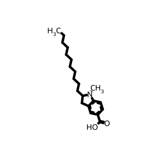 CCCCCCCCCCCC1Cc2cc(C(=O)O)ccc2N1C